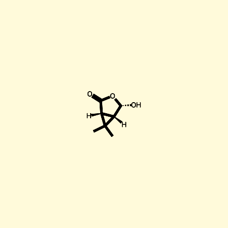 CC1(C)[C@@H]2[C@H]1C(=O)O[C@@H]2O